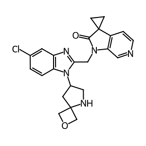 O=C1N(Cc2nc3cc(Cl)ccc3n2C2CNC3(COC3)C2)c2cnccc2C12CC2